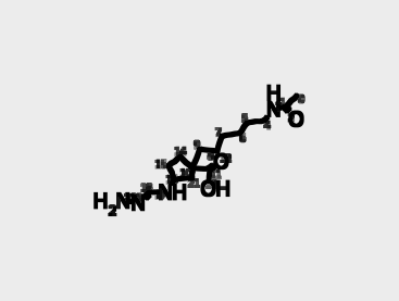 CC(=O)NCCCCCCC1(C(=O)O)CCC(NC=NN)C1